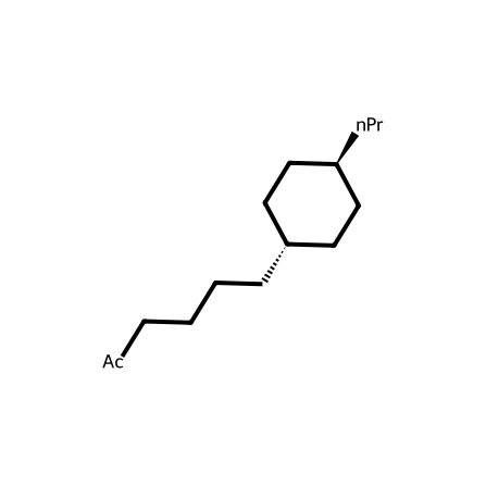 CCC[C@H]1CC[C@H](CCCCC(C)=O)CC1